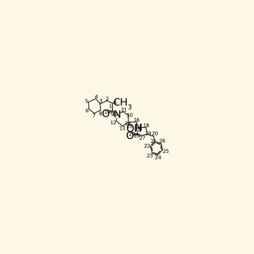 CC(CC1CCCCC1)C(=O)N1CCC(O)(CN2CC(Cc3ccccc3)CC2=O)CC1